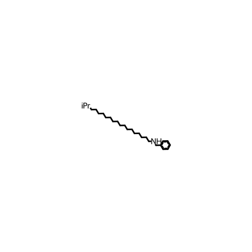 CC(C)CCCCCCCCCCCCCCCCCNCc1ccccc1